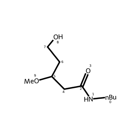 CCCCNC(=O)CC(CCO)OC